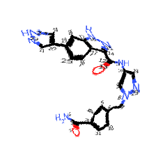 NC(=O)c1ccc(Cn2cc(NC(=O)c3n[nH]c4cc(-c5cn[nH]c5)ccc34)cn2)cc1